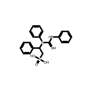 N=C(Nc1ccccc1)N(c1ccccc1)C(CP(=O)(O)O)c1ccccc1